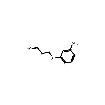 Nc1cccc(OCCCO)c1